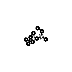 c1ccc(-c2cccc(-c3nc(-c4ccccc4)nc(-c4cccc(-n5c6ccccc6c6ccc7c(c65)-c5ccccc5C7(c5ccccc5)c5ccccc5)c4)n3)c2)cc1